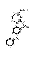 COc1cc(Oc2ccccc2)ccc1[C@H]1SCC[C@@H](CN)NC1=O